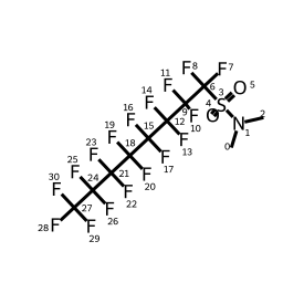 CN(C)S(=O)(=O)C(F)(F)C(F)(F)C(F)(F)C(F)(F)C(F)(F)C(F)(F)C(F)(F)C(F)(F)F